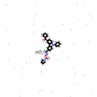 O=C(O)/C(=N\OC(=O)n1cccc1)c1ccc2c(c1)c1cc(C(=O)c3ccccc3)ccc1n2-c1ccccc1